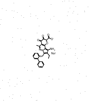 CCc1c(N)c2c3c(c(C)nn2c1Cc1ccccc1-c1ccccc1)C(=O)C(=O)C(C(=O)[O-])O3.[Na+]